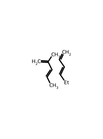 C=C(C)/C=C/C.C=C/C=C/CC